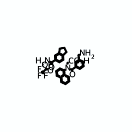 NC(=O)c1ccc2c(c1)CCC2.NCc1cccc(C(=O)N(CC(=O)O)c2cccc3ccccc23)c1.O=C(O)C(F)(F)F